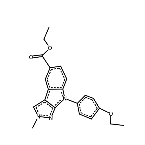 CCOC(=O)c1ccc2c(c1)c1cn(C)nc1n2-c1ccc(OCC)cc1